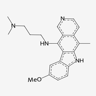 COc1ccc2[nH]c3c(C)c4ccncc4c(NCCCN(C)C)c3c2c1